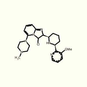 COc1cccnc1[C@@H]1CCC[C@H](C2N=C3C=CC=C(N4CCN(C)CC4)N3C2Cl)N1